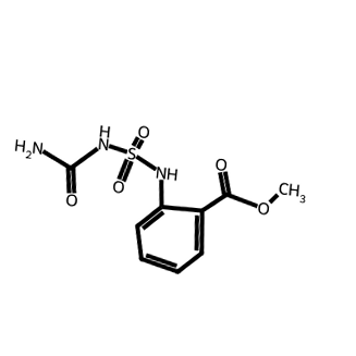 COC(=O)c1ccccc1NS(=O)(=O)NC(N)=O